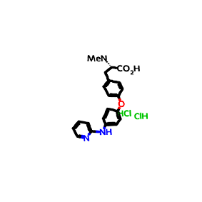 CN[C@@H](Cc1ccc(Oc2ccc(Nc3ccccn3)cc2)cc1)C(=O)O.Cl.Cl